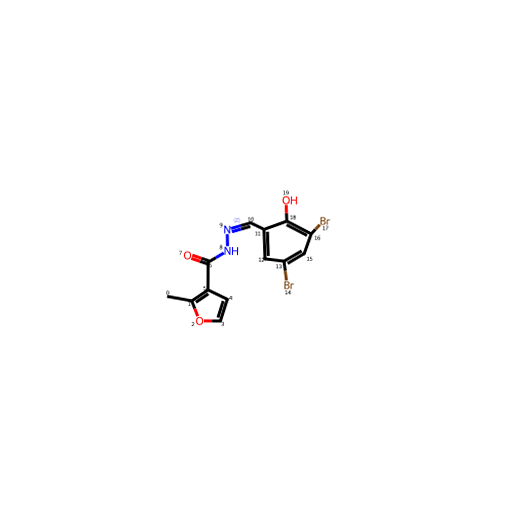 Cc1occc1C(=O)N/N=C\c1cc(Br)cc(Br)c1O